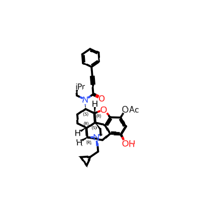 CC(=O)Oc1cc(O)c2c3c1O[C@H]1[C@@H](N(CC(C)C)C(=O)C#Cc4ccccc4)CC[C@H]4[C@@H](C2)N(CC2CC2)CC[C@@]341